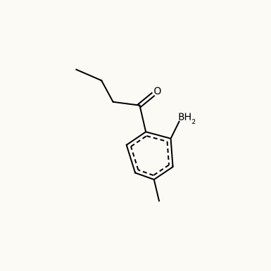 Bc1cc(C)ccc1C(=O)CCC